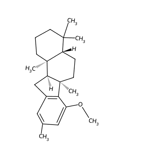 COc1cc(C)cc2c1[C@]1(C)CC[C@H]3C(C)(C)CCC[C@]3(C)[C@@H]1C2